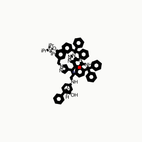 CC(C)[Si](Oc1cccc(Cn2cc(/C(=C\CNC34CCC(c5ccccc5)(CC3)[C@H](O)C4)c3cc(NC(c4ccccc4)(c4ccccc4)c4ccccc4)nc4c3nnn4C(c3ccccc3)(c3ccccc3)c3ccccc3)cn2)c1)(C(C)C)C(C)C